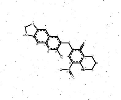 O=c1c(Cc2cc3cc4c(cc3nc2Cl)OCO4)cc([N+](=O)[O-])c2n1CCCN2